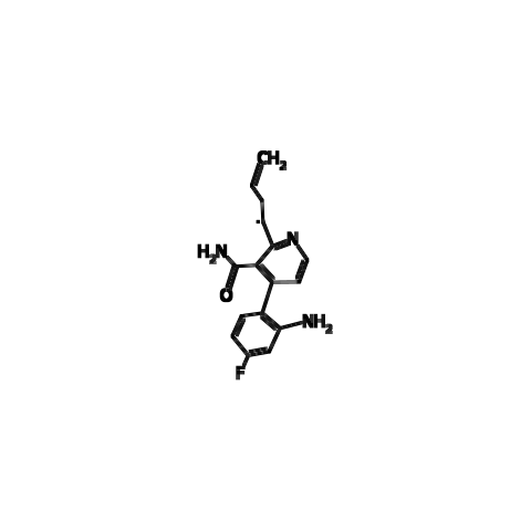 C=CC[CH]c1nccc(-c2ccc(F)cc2N)c1C(N)=O